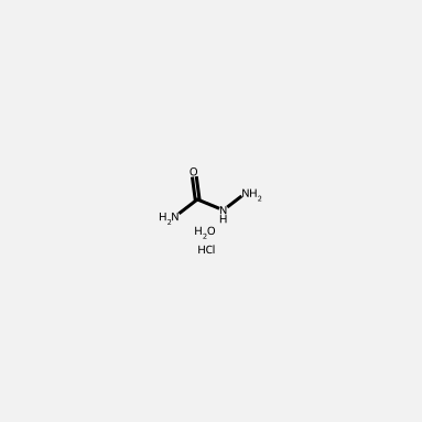 Cl.NNC(N)=O.O